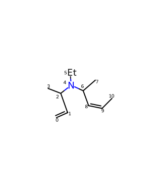 C=CC(C)N(CC)C(C)/C=C\C